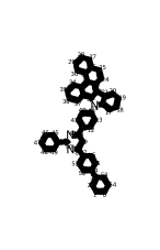 c1ccc(-c2ccc(-c3cc(-c4ccc(-n5c6ccccc6c6c7ccc8ccccc8c7c7ccccc7c65)cc4)nc(-c4ccccc4)n3)cc2)cc1